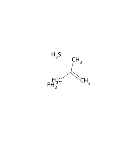 C=C(C)C.P.S